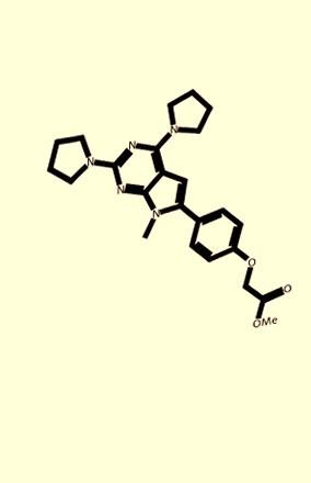 COC(=O)COc1ccc(-c2cc3c(N4CCCC4)nc(N4CCCC4)nc3n2C)cc1